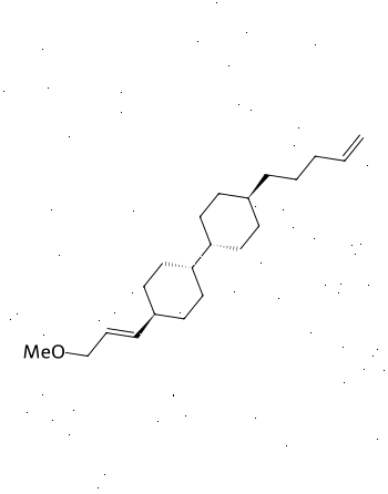 C=CCCC[C@H]1CC[C@H]([C@H]2CC[C@H](C=CCOC)CC2)CC1